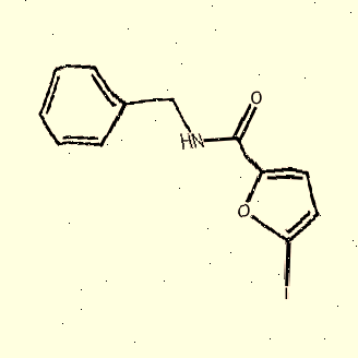 O=C(NCc1ccccc1)c1ccc(I)o1